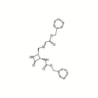 O=C(C=NC[C@@H]1NC(=O)[C@@H]1NC(=O)OCc1ccccc1)OCc1ccccc1